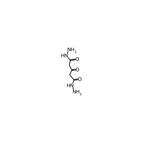 NNC(=O)CC(=O)CC(=O)NN